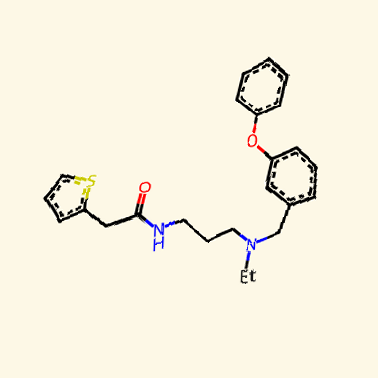 CCN(CCCNC(=O)Cc1cccs1)Cc1cccc(Oc2ccccc2)c1